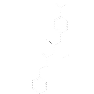 CS[C@H](C(=O)NCc1ccccc1)[C@@H](N)Cc1ccc(C(=O)O)cc1